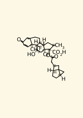 C[C@@H]1C[C@H]2[C@@H]3CCC4=CC(=O)C=C[C@]4(C)[C@@]3(F)[C@@H](O)C[C@]2(C)[C@@]1(OC(=O)C[C@H]1CC23C[C@H]2CC[C@H]13)C(=O)O